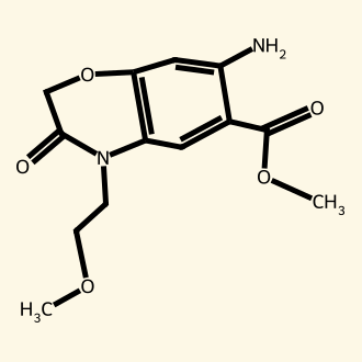 COCCN1C(=O)COc2cc(N)c(C(=O)OC)cc21